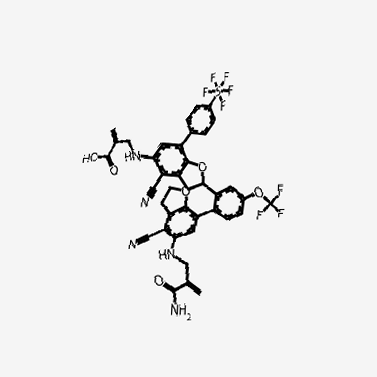 C=C(CNc1cc(-c2ccc(OC(F)(F)F)cc2C2Cc3c(C#N)c(NCC(=C)C(=O)O)cc(-c4ccc(S(F)(F)(F)(F)F)cc4)c3O2)c2c(c1C#N)CCO2)C(N)=O